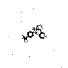 O=[N+]([O-])c1ccc(S(=O)(=O)N2CCSC2c2cccnc2)cc1